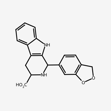 O=C(O)C1Cc2c([nH]c3ccccc23)C(c2ccc3c(c2)OOC3)N1